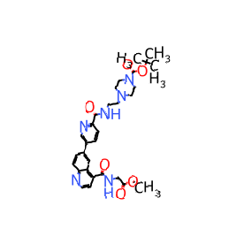 COC(=O)CNC(=O)c1ccnc2ccc(-c3ccc(C(=O)NCCN4CCN(C(=O)OC(C)(C)C)CC4)nc3)cc12